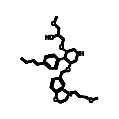 CCCCc1ccc([C@@H]2[C@@H](OCc3ccc4c(c3)N(CCCOC)CCO4)CNC[C@H]2OCC(O)COC)cc1